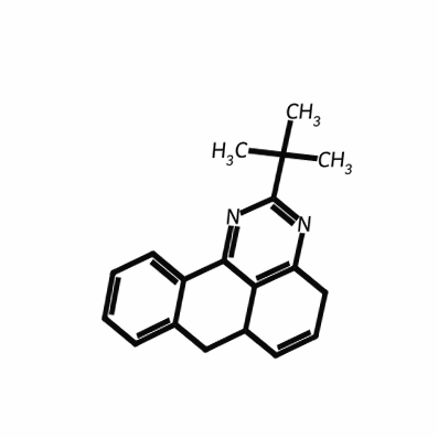 CC(C)(C)c1nc2c3c(n1)-c1ccccc1CC3C=CC2